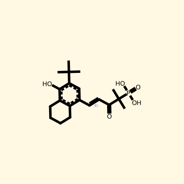 CC(C)(C)c1cc(/C=C/C(=O)C(C)(C)P(=O)(O)O)c2c(c1O)CCCC2